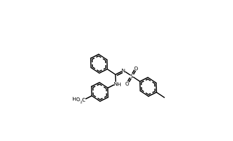 Cc1ccc(S(=O)(=O)/N=C(\Nc2ccc(C(=O)O)cc2)c2ccccc2)cc1